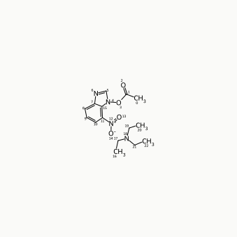 CC(=O)On1cnc2cccc([N+](=O)[O-])c21.CCN(CC)CC